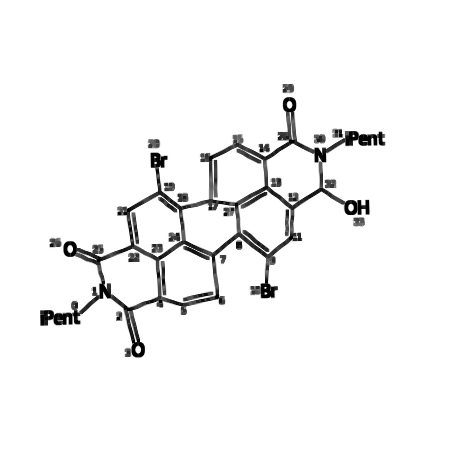 CCCC(C)N1C(=O)c2ccc3c4c(Br)cc5c6c(ccc(c7c(Br)cc(c2c37)C1=O)c64)C(=O)N(C(C)CCC)C5O